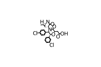 CCC[C@H](C(N)=O)N1C(=O)C(CC(=O)O)O[C@@H](c2cccc(Cl)c2)C1c1ccc(Cl)cc1